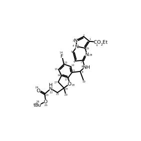 CCOC(=O)c1cnn2ccc(NC(C)c3cc(F)cc4c3OC(C)(CNC(=O)OC(C)(C)C)C4)nc12